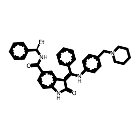 CC[C@@H](NC(=O)c1ccc2c(c1)/C(=C(/Nc1ccc(CN3CCCCC3)cc1)c1ccccc1)C(=O)N2)c1ccccc1